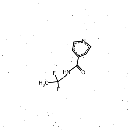 CC(F)(F)CNC(=O)c1ccncc1